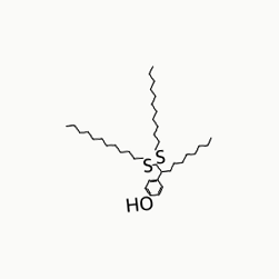 CCCCCCCCCCCCSC(SCCCCCCCCCCCC)C(CCCCCCCC)c1ccc(O)cc1